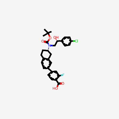 CC(C)(C)OC(=O)N(C[C@H](O)c1ccc(Cl)cc1)[C@H]1CCc2ccc(-c3ccc(C(=O)O)c(F)c3)cc2C1